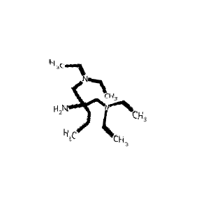 CCN(CC)CC(N)(CC)CN(CC)CC